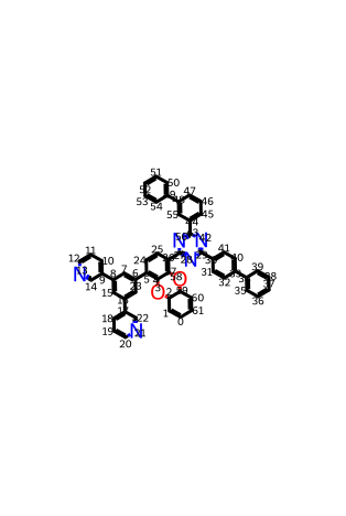 C1=CC2Oc3c(-c4cc(-c5cccnc5)cc(-c5cccnc5)c4)ccc(-c4nc(-c5ccc(-c6ccccc6)cc5)nc(-c5cccc(-c6ccccc6)c5)n4)c3OC2C=C1